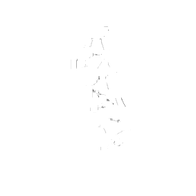 COc1ccc(C(=O)Nc2cc3ccc(-c4cc(F)ccc4C)cc3cn2)cc1